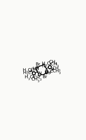 CC(C)(C)c1cc(-c2c3nc(c(Br)c4ccc([nH]4)c(-c4cc(C(C)(C)C)cc(C(C)(C)C)c4)c4nc(c(Br)c5ccc2[nH]5)C=C4)C=C3)cc(C(C)(C)C)c1